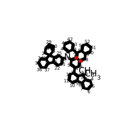 CC1(C)c2ccccc2-c2cccc(-c3cccc(N(c4ccc5c(c4)C4(CC6CCC4C6)c4ccccc4-5)c4ccccc4-c4cccc5ccccc45)c3)c21